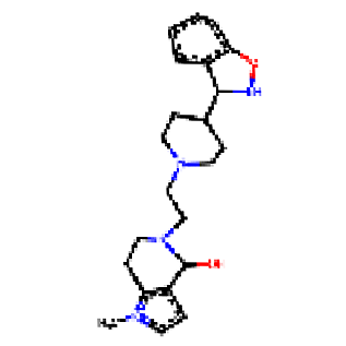 Cn1ccc2c1CCN(CCN1CCC(C3NOc4ccccc43)CC1)C2O